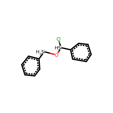 Cl[SiH](O[SiH2]c1ccccc1)c1ccccc1